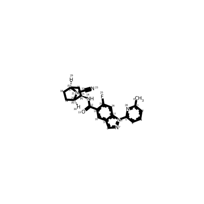 Cc1cccc(-n2ncc3cc(C(=O)N[C@@H]4C[C@@H]5CC[C@H]4N5C#N)c(F)cc32)n1